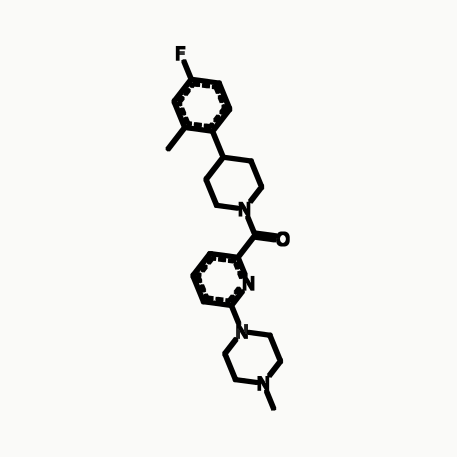 Cc1cc(F)ccc1C1CCN(C(=O)c2cccc(N3CCN(C)CC3)n2)CC1